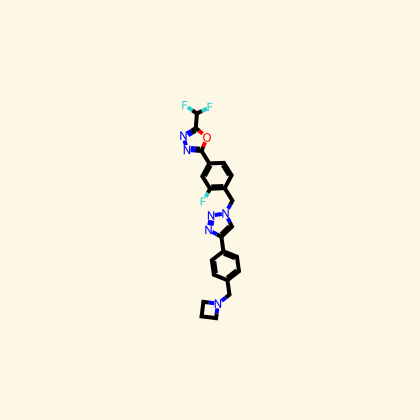 Fc1cc(-c2nnc(C(F)F)o2)ccc1Cn1cc(-c2ccc(CN3CCC3)cc2)nn1